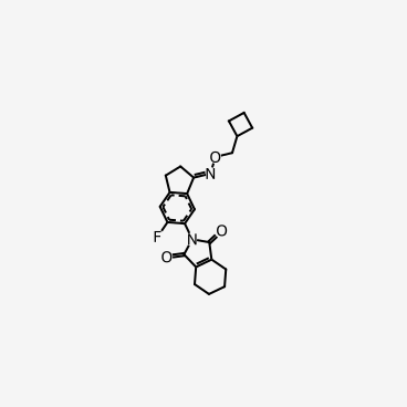 O=C1C2=C(CCCC2)C(=O)N1c1cc2c(cc1F)CCC2=NOCC1CCC1